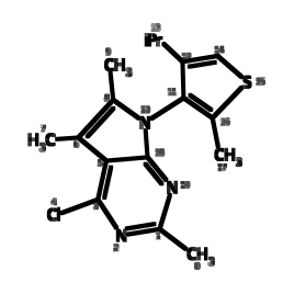 Cc1nc(Cl)c2c(C)c(C)n(-c3c(C(C)C)csc3C)c2n1